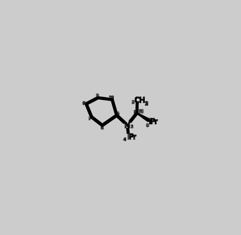 CC(C)[C@H](C)N(C(C)C)C1CCCCC1